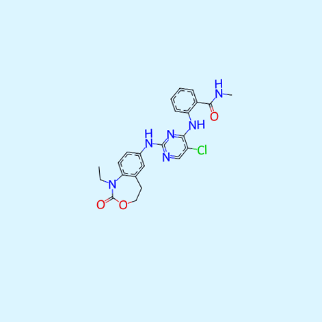 CCN1C(=O)OCCc2cc(Nc3ncc(Cl)c(Nc4ccccc4C(=O)NC)n3)ccc21